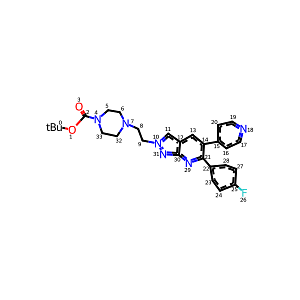 CC(C)(C)OC(=O)N1CCN(CCn2cc3cc(-c4ccncc4)c(-c4ccc(F)cc4)nc3n2)CC1